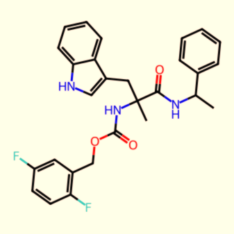 CC(NC(=O)C(C)(Cc1c[nH]c2ccccc12)NC(=O)OCc1cc(F)ccc1F)c1ccccc1